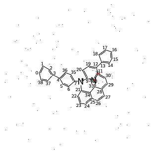 c1ccc(-c2ccc(N(c3ccc(-c4ccccc4)cc3)c3cccc4ccc5cccnc5c34)cc2)cc1